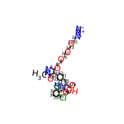 Cn1ncc(OCCOCCOCCOCCN=[N+]=[N-])c(-c2ccc(C[C@H](NC(=O)c3c(Cl)cccc3Cl)C(=O)O)cc2)c1=O